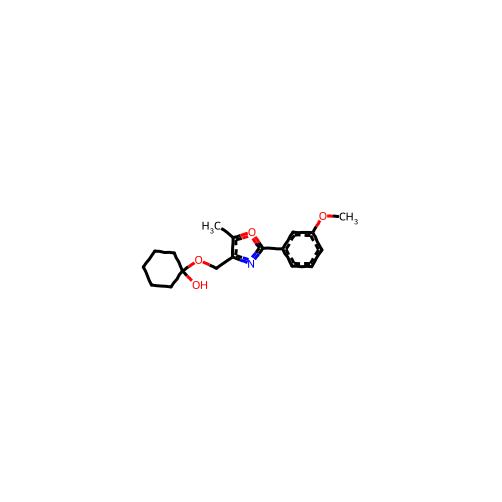 COc1cccc(-c2nc(COC3(O)CCCCC3)c(C)o2)c1